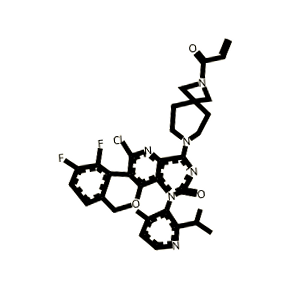 C=CC(=O)N1CC2(CCN(c3nc(=O)n(-c4c(C)ccnc4C(C)C)c4c5c(c(Cl)nc34)-c3c(ccc(F)c3F)CO5)CC2)C1